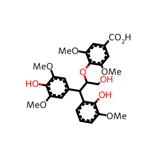 COc1cc(C(c2cccc(OC)c2O)C(CO)Oc2c(OC)cc(C(=O)O)cc2OC)cc(OC)c1O